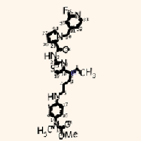 C/C=C(\CCCNc1ccc(N(C)C(=O)OC)cc1)c1csc(NC(=O)c2cccn2Cc2ccnc(F)c2)n1